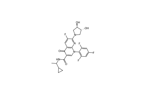 CC(NC(=O)c1cn(-c2c(F)cc(F)cc2F)c2nc(N3C[C@@H](O)[C@H](O)C3)c(F)cc2c1=O)C1CC1